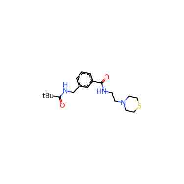 CC(C)(C)C(=O)NCc1cccc(C(=O)NCCN2CCSCC2)c1